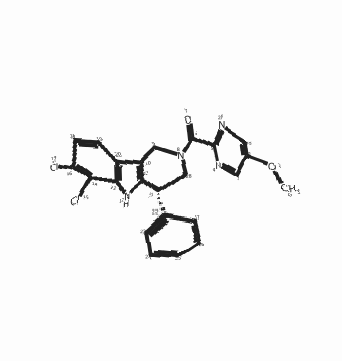 COc1cnc(C(=O)N2Cc3c([nH]c4c(Cl)c(Cl)ccc34)[C@@H](c3ccccc3)C2)nc1